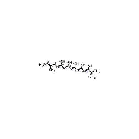 C=C(C)/C(S)=N/C(S)=N/C(S)=N/C(S)=N/C(S)=N/C/C(C)=C/C